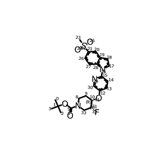 CC(C)(C)OC(=O)N1CC[C@@H](Oc2ccc(-n3ccc4cc(S(C)(=O)=O)ccc43)nc2)[C@H](F)C1